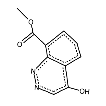 COC(=O)c1cccc2c(O)cnnc12